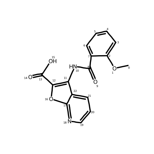 COc1ccccc1C(=O)Nc1c(C(=O)O)oc2ncccc12